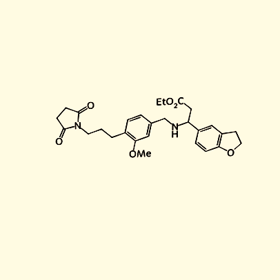 CCOC(=O)CC(NCc1ccc(CCCN2C(=O)CCC2=O)c(OC)c1)c1ccc2c(c1)CCO2